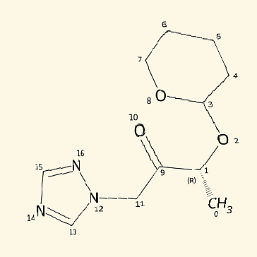 C[C@@H](OC1CCCCO1)C(=O)Cn1cncn1